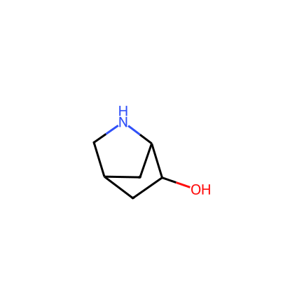 OC1CC2CNC1C2